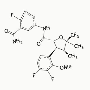 COc1c([C@H]2[C@H](C(=O)Nc3ccc(F)c(C(N)=O)c3)O[C@@](C)(C(F)(F)F)[C@H]2C)ccc(F)c1F